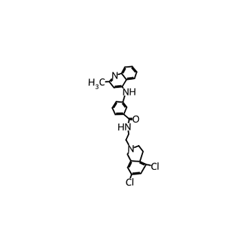 Cc1cc(Nc2cccc(C(=O)NCCN3CCc4c(Cl)cc(Cl)cc4C3)c2)c2ccccc2n1